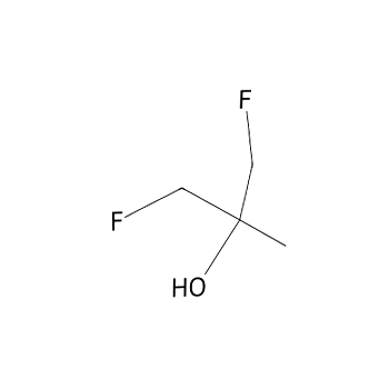 CC(O)(CF)CF